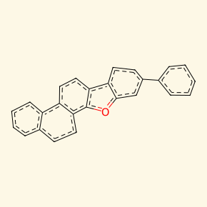 c1ccc(-c2ccc3c(c2)oc2c3ccc3c4ccccc4ccc32)cc1